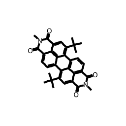 CN1C(=O)c2ccc3c4c(C(C)(C)C)cc5c6c(ccc(c7c(C(C)(C)C)cc(c2c37)C1=O)c64)C(=O)N(C)C5=O